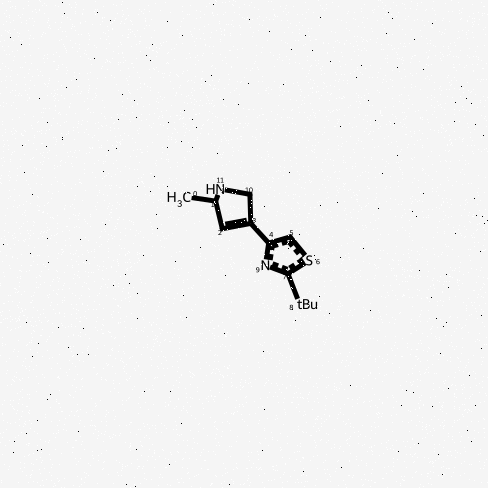 CC1C=C(c2csc(C(C)(C)C)n2)CN1